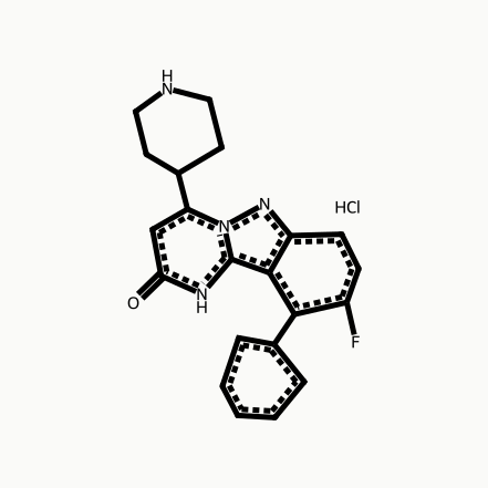 Cl.O=c1cc(C2CCNCC2)n2nc3ccc(F)c(-c4ccccc4)c3c2[nH]1